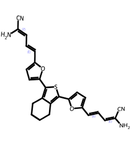 N#C/C(N)=C/C=C/c1ccc(-c2sc(-c3ccc(/C=C/C=C(/N)C#N)o3)c3c2CCCC3)o1